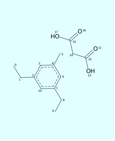 CCc1cc(C)cc(CC)c1.O=C(O)CC(=O)O